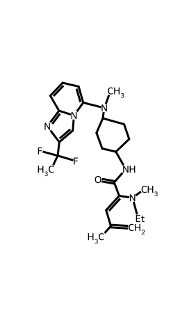 C=C(C)/C=C(/C(=O)NC1CCC(N(C)c2cccc3nc(C(C)(F)F)cn23)CC1)N(C)CC